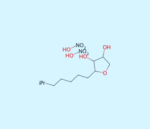 CC(C)CCCCCC1OCC(O)C1O.O=[N+]([O-])O.O=[N+]([O-])O